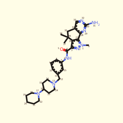 Cn1nc(C(=O)Nc2cccc(CN3CCC(N4CCCCC4)CC3)c2)c2c1-c1nc(N)ncc1CC2(C)C